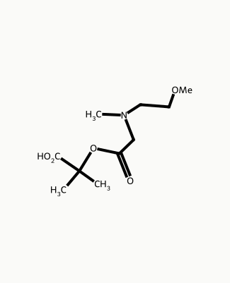 COCCN(C)CC(=O)OC(C)(C)C(=O)O